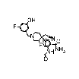 N#CCC1(n2cc(C(N)=O)c(NC=O)n2)CCN(Cc2cc(O)cc(F)c2)CC1F